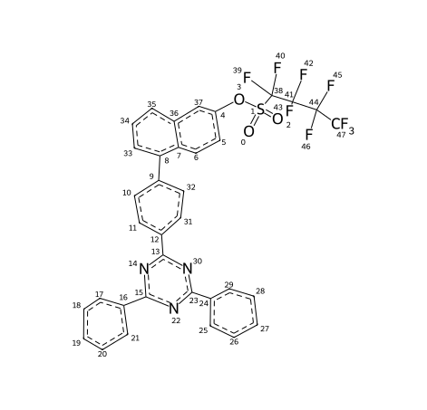 O=S(=O)(Oc1ccc2c(-c3ccc(-c4nc(-c5ccccc5)nc(-c5ccccc5)n4)cc3)cccc2c1)C(F)(F)C(F)(F)C(F)(F)C(F)(F)F